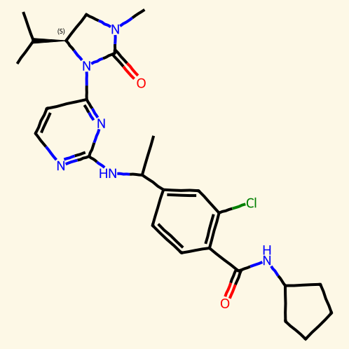 CC(Nc1nccc(N2C(=O)N(C)C[C@@H]2C(C)C)n1)c1ccc(C(=O)NC2CCCC2)c(Cl)c1